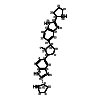 CN1C(c2ccc3[nH]c([C@@H]4CCCN4)nc3c2)CC[C@@H]1c1ccc2[nH]c(C3CCCN3)nc2c1